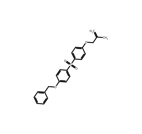 C=C(C)COc1ccc(S(=O)(=O)c2ccc(OCc3ccccc3)cc2)cc1